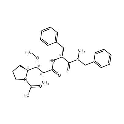 CO[C@H]([C@@H](C)C(=O)N[C@@H](Cc1ccccc1)C(=O)N(C)Cc1ccccc1)[C@@H]1CCCN1C(=O)O